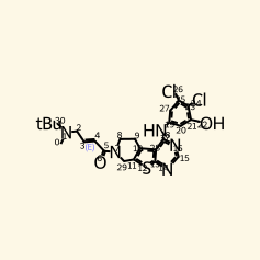 CN(C/C=C/C(=O)N1CCc2c(sc3ncnc(Nc4cc(O)c(Cl)c(Cl)c4)c23)C1)C(C)(C)C